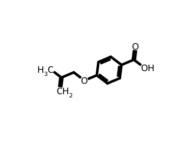 C=C(C)COc1ccc(C(=O)O)cc1